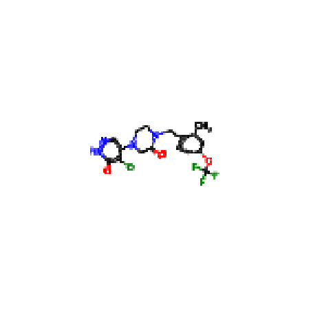 Cc1cc(OC(F)(F)F)ccc1CN1CCN(c2cn[nH]c(=O)c2Cl)CC1=O